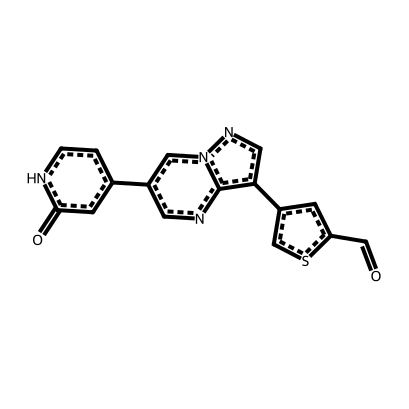 O=Cc1cc(-c2cnn3cc(-c4cc[nH]c(=O)c4)cnc23)cs1